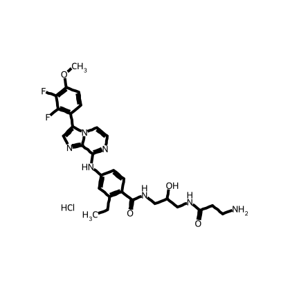 CCc1cc(Nc2nccn3c(-c4ccc(OC)c(F)c4F)cnc23)ccc1C(=O)NCC(O)CNC(=O)CCN.Cl